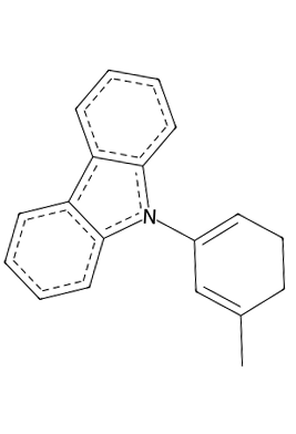 CC1=CC(n2c3ccccc3c3ccccc32)=CCC1